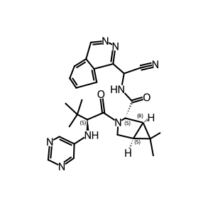 CC(C)(C)[C@H](Nc1cncnc1)C(=O)N1C[C@H]2[C@@H]([C@H]1C(=O)NC(C#N)c1nncc3ccccc13)C2(C)C